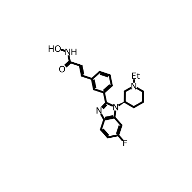 CCN1CCC[C@@H](n2c(-c3cccc(C=CC(=O)NO)c3)nc3ccc(F)cc32)C1